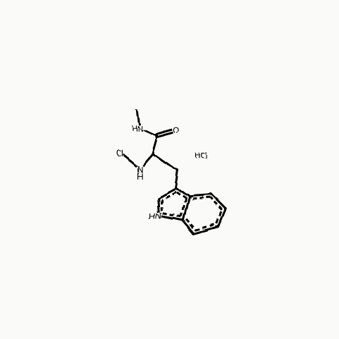 CNC(=O)C(Cc1c[nH]c2ccccc12)NCl.Cl